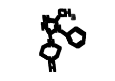 Cc1nnc(N2CCNCC2)n1-c1ccccc1